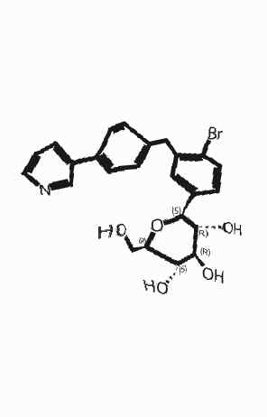 OC[C@H]1O[C@@H](c2ccc(Br)c(Cc3ccc(-c4cccnc4)cc3)c2)[C@H](O)[C@@H](O)[C@@H]1O